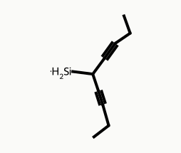 CCC#CC([SiH2])C#CCC